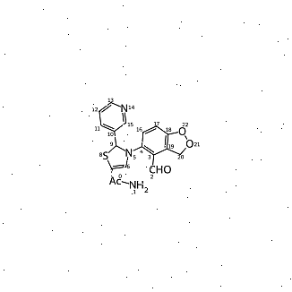 CC(N)=O.O=Cc1c(N2C=CSC2c2cccnc2)ccc2c1COO2